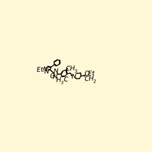 C=C(OCC)C1CCN(CCc2c(C)cc(-c3noc(-c4nn(CC)cc4-c4ccccc4)n3)cc2C)CC1